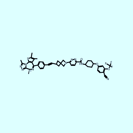 Cc1sc2c(c1C)C(c1ccc(C#CC3CC4(C3)CN(c3ccc(C(=O)NC5CCC(Oc6ccc(C#N)c(OC(F)(F)F)c6)CC5)nn3)C4)cc1)=N[C@@H](C)c1nnc(C)n1-2